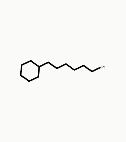 CC(C)CCCCCCC1CCCCC1